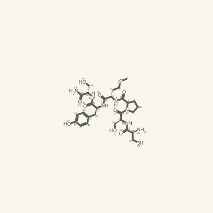 CSCC[C@H](NC(=O)C1CCCN1C(=O)[C@H](CO)NC(=O)[C@@H](N)CS)C(=O)N[C@@H](Cc1ccc(O)cc1)C(=O)N[C@@H](CO)C(N)=O